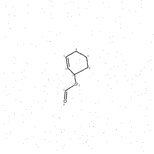 O=[C]OC1C=CCCC1